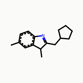 Cc1ccc2c(c1)C(C)C(CC1CCCC1)=N2